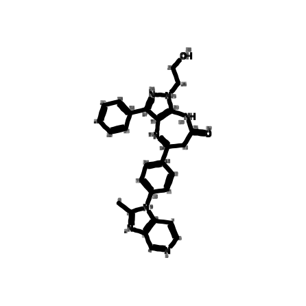 Cc1nc2cnccc2n1-c1ccc(C2=Nc3c(-c4ccccc4)nn(CCO)c3NC(=O)C2)cc1